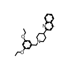 CCOc1cc(CN2CCC(c3c[c]c4ccccc4n3)CC2)cc(OCC)c1